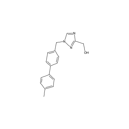 Cc1ccc(-c2ccc(Cn3cnc(CO)n3)cc2)cc1